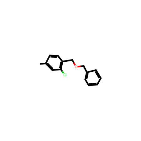 Cc1ccc(COCc2ccccc2)c(Cl)c1